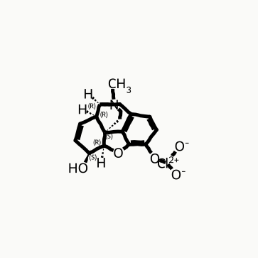 CN1CC[C@]23c4c5ccc(O[Cl+2]([O-])[O-])c4O[C@H]2[C@@H](O)C=C[C@H]3[C@H]1C5